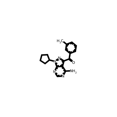 Cc1cccc(C(=O)c2nn(C3CCCC3)c3ncnc(N)c23)c1